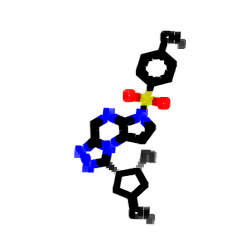 C=C1C[C@@H](CC)[C@@H](c2nnc3cnc4c(ccn4S(=O)(=O)c4ccc(C)cc4)n23)C1